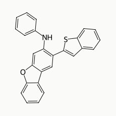 c1ccc(Nc2cc3oc4ccccc4c3cc2-c2cc3ccccc3s2)cc1